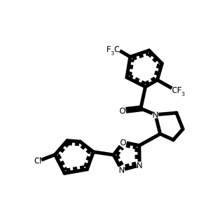 O=C(c1cc(C(F)(F)F)ccc1C(F)(F)F)N1CCCC1c1nnc(-c2ccc(Cl)cc2)o1